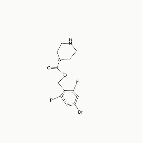 O=C(OCc1c(F)cc(Br)cc1F)N1CCNCC1